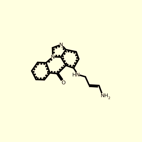 NC=CCNc1ccc2ncn3c4ccccc4c(=O)c1c23